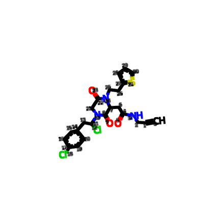 C#CCNC(=O)CC1C(=O)N(C(Cl)Cc2ccc(Cl)cc2)CC(=O)N1CCc1cccs1